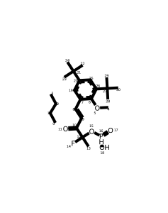 CCCC.COc1c(/C=C/C(=O)C(C)(F)O[PH](=O)O)cc(C(C)(C)C)cc1C(C)(C)C